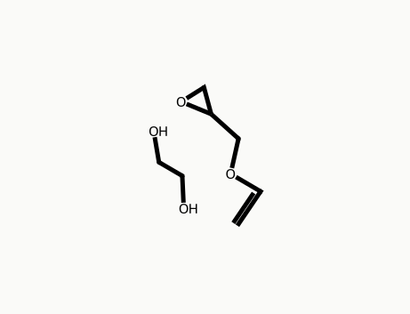 C=COCC1CO1.OCCO